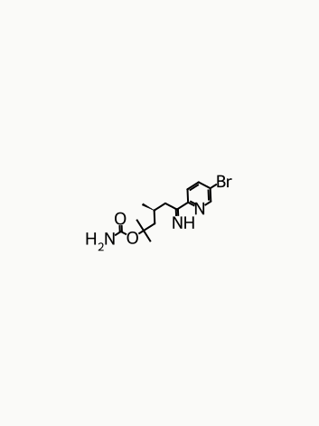 C[C@@H](CC(=N)c1ccc(Br)cn1)CC(C)(C)OC(N)=O